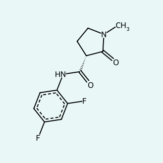 CN1CC[C@@H](C(=O)Nc2ccc(F)cc2F)C1=O